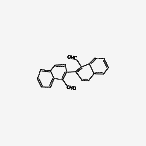 O=Cc1c(-c2ccc3ccccc3c2C=O)ccc2ccccc12